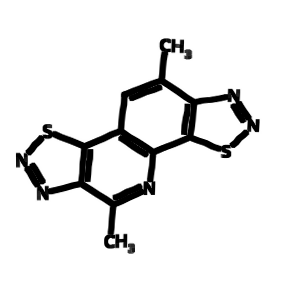 Cc1nc2c(cc(C)c3nnsc32)c2snnc12